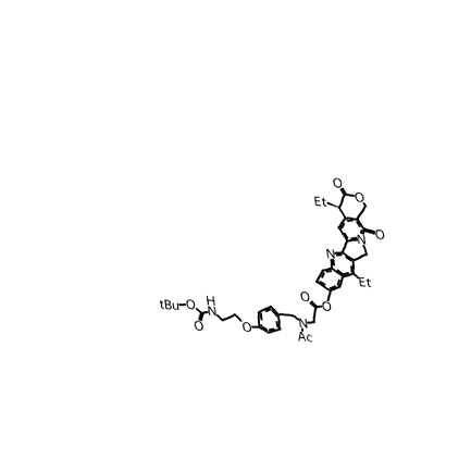 CCc1c2c(nc3ccc(OC(=O)CN(Cc4ccc(OCCNC(=O)OC(C)(C)C)cc4)C(C)=O)cc13)-c1cc3c(c(=O)n1C2)COC(=O)[C@@H]3CC